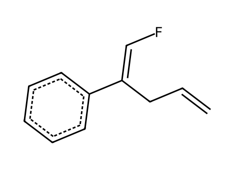 C=CCC(=CF)c1ccccc1